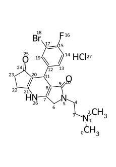 CN(C)CCN1CC2=C(C1=O)C(c1ccc(F)c(Br)c1)C1=C(CCC1=O)N2.Cl